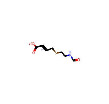 O=CNCCSC/C=C/C(=O)O